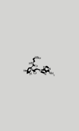 CC(C)(C)CCNC(=O)[C@@H]1C[C@H]2C[C@H]2N1C(=O)Cn1cnc2c(N)ncnc21